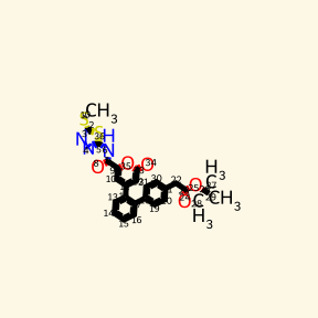 CSc1nnc(NC(=O)c2cc(-c3ccccc3-c3ccc(CC(=O)OC(C)(C)C)cc3)cc(=O)o2)s1